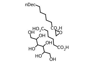 C1CO1.CCCCCCCCCCCCCCCC(=O)O.O=C(O)CCCCC(=O)O.OCC(O)C(O)C(O)C(O)CO